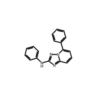 c1ccc(Nc2nc3cccc(-c4ccccc4)n3n2)cc1